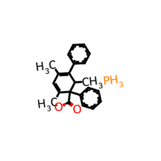 CC1=CC(C)=C(c2ccccc2)C(C)C1(C([O])=O)c1ccccc1.P